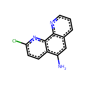 Nc1cc2cccnc2c2nc(Cl)ccc12